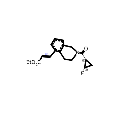 CCOC(=O)/C=C/c1cccc2c1CCN(C(=O)[C@@H]1C[C@@H]1F)C2